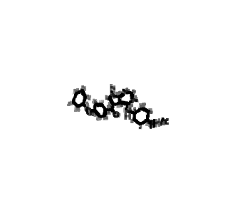 CC(=O)NC1CCC(Nc2ncnc3[nH]cc(C(=O)c4ccc(OC5C=CCCC5)cc4)c23)CC1